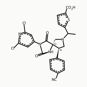 CC(c1ccc(C(=O)O)s1)N1C[C@@H](c2ccc(C#N)cc2)[C@@]2(C1)NC(=O)N(c1cc(Cl)nc(Cl)c1)C2=O